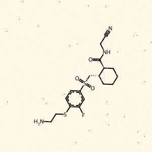 N#CCNC(=O)[C@H]1CCCC[C@@H]1CS(=O)(=O)c1ccc(SCCN)c(F)c1